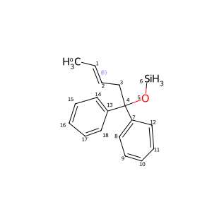 C/C=C/CC(O[SiH3])(c1ccccc1)c1ccccc1